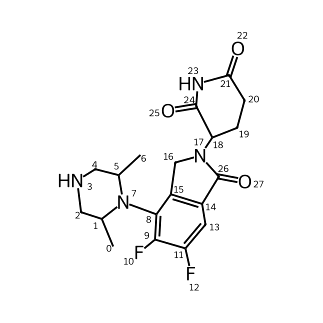 CC1CNCC(C)N1c1c(F)c(F)cc2c1CN(C1CCC(=O)NC1=O)C2=O